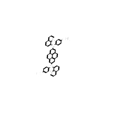 Cc1ccc(N(c2cc3ccc4cc(N(c5ccc(C)cc5)c5cccc6cccnc56)cc5ccc(c2)c3c45)c2cccc3cccnc23)cc1